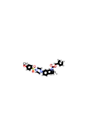 COc1ccc(S(=O)(=O)N2CCN(c3ccc4c(c3)C3[C@@H](C)C4CCN3C(=O)OCc3ccccc3)CC2)cc1